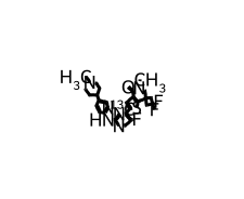 CN1CCC(c2ccc(Nc3ncc(F)c(-[13c]4cc5c(s4)C4(CN(C)C5=O)CC(F)(F)C4)n3)nc2)CC1